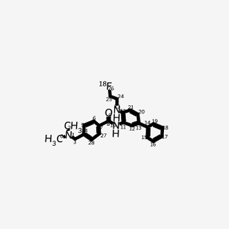 CN(C)Cc1ccc(C(=O)Nc2cc(-c3ccccc3)ccc2NCC[18F])cc1